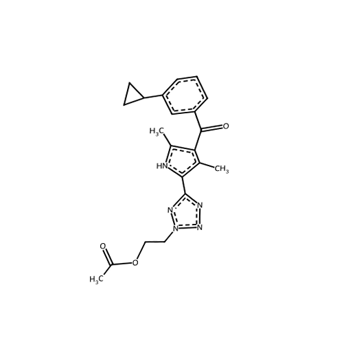 CC(=O)OCCn1nnc(-c2[nH]c(C)c(C(=O)c3cccc(C4CC4)c3)c2C)n1